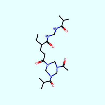 CCC(CCC(=O)N1CN(C(C)=O)CN(C(=O)C(C)C)C1)C(=O)NCNC(=O)C(C)C